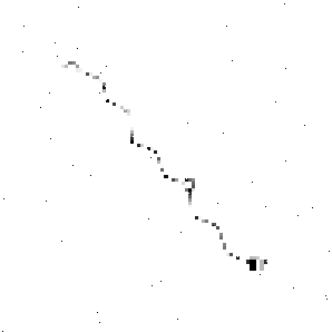 CC(C)CCCOCCCCCC[O]